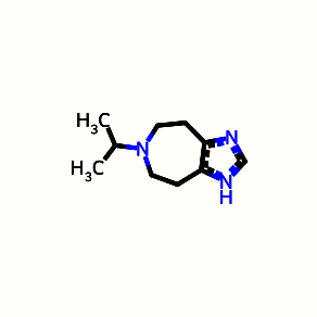 CC(C)N1CCc2nc[nH]c2CC1